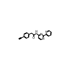 C#Cc1ccc(CC(=O)Nc2ccnc(-c3ccccn3)n2)cc1